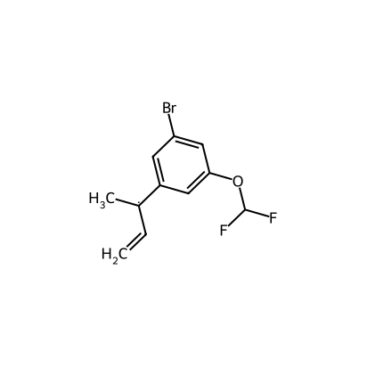 C=C[C](C)c1cc(Br)cc(OC(F)F)c1